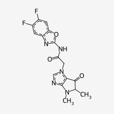 CC1C(=O)c2c(ncn2CC(=O)Nc2nc3cc(F)c(F)cc3o2)N1C